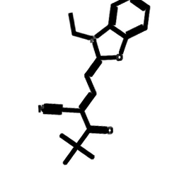 CCN1/C(=C/C=C(\C#N)C(=O)C(C)(C)C)Oc2ccccc21